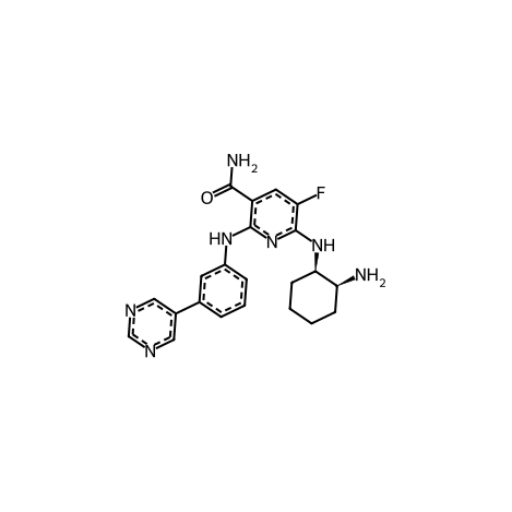 NC(=O)c1cc(F)c(N[C@@H]2CCCC[C@@H]2N)nc1Nc1cccc(-c2cncnc2)c1